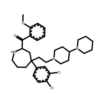 COc1ccccc1C(=O)C1CC(CCN2CCC(N3CCCCC3)CC2)(c2ccc(Cl)c(Cl)c2)CCCN1